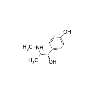 CN[C@@H](C)[C@H](O)c1ccc(O)cc1